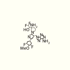 COc1c(F)cc(-c2cc(Cn3cnc4c(N)ncnc43)c(N3CCCC(N)([C@@H](O)C(F)F)C3)cn2)cc1F